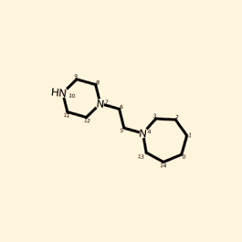 C1CCCN(CCN2CCNCC2)CC1